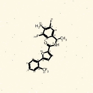 C[C@@H](NC(=O)c1ccc(-c2ccccc2C(F)(F)F)o1)c1cc(F)c(N)c(F)c1